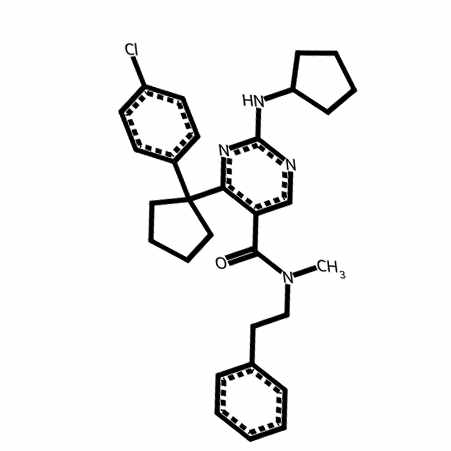 CN(CCc1ccccc1)C(=O)c1cnc(NC2CCCC2)nc1C1(c2ccc(Cl)cc2)CCCC1